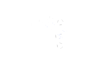 Cc1cccc(C)c1-c1cc2nc(n1)NSc1cccc(c1)N1CCN(CCC(C)(C)C)CC(O2)C1CC(C)C